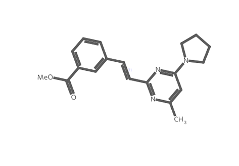 COC(=O)c1cccc(/C=C/c2nc(C)cc(N3CCCC3)n2)c1